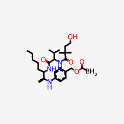 BC(=O)OCc1ccc(NC(=C)C(CCCCC)NC(=O)C(NC(=O)C(C)(C)CCO)C(C)C)cc1